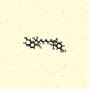 C=C/C=c1/c2c(cc/c1=C/C)[N+](C)=C(/C=C/C=C/C=C1/N(C)c3ccc(O)cc3C1(C)C)C2(C)C